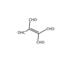 O=[C]C([C]=O)=C([C]=O)[C]=O